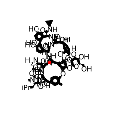 Cc1cc2ccc1Oc1cc3cc(c1O[C@@H]1O[C@H](CO)[C@@H](O)[C@H](O)[C@H]1O)OC1=CC[C@@H](C=C1Cl)[C@@H](O)[C@@H]1NC(=O)[C@H](NC(=O)[C@@H]3NC(=O)[C@H](CC(N)=O)NC(=O)[C@H](NC(=O)[C@@H](CC(C)C)N(C)C(=O)OC(C)(C)C)[C@@H]2O)c2ccc(O)c(c2)-c2c(O)cc(O)cc2[C@@H](C(=O)NC2CC2)NC1=O